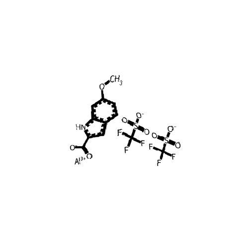 COc1ccc2cc(C(=O)[O-])[nH]c2c1.O=S(=O)([O-])C(F)(F)F.O=S(=O)([O-])C(F)(F)F.[Al+3]